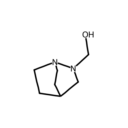 OCN1CC2CCN1CC2